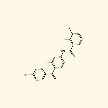 C=C(c1ccc(Br)cc1)c1ccc(NC(=O)c2cncc(F)c2C)cc1C